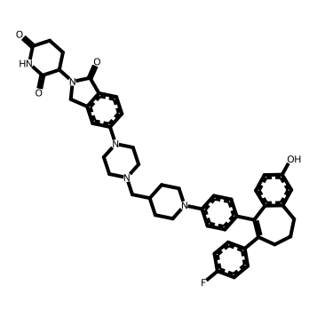 O=C1CCC(N2Cc3cc(N4CCN(CC5CCN(c6ccc(C7=C(c8ccc(F)cc8)CCCc8cc(O)ccc87)cc6)CC5)CC4)ccc3C2=O)C(=O)N1